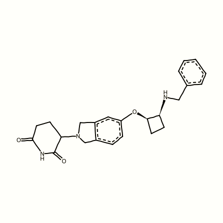 O=C1CCC(N2Cc3ccc(O[C@@H]4CC[C@@H]4NCc4ccccc4)cc3C2)C(=O)N1